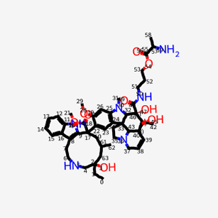 CCC1(O)CNCCc2c([nH]c3ccccc23)C(C(=O)OC)(c2cc3c(cc2OC)N(C)C2C34CCN3CC=C[C@](CC)(C34)[C@@H](O)[C@]2(O)C(=O)NCCCOC(=O)C(C)N)CC(C)C1